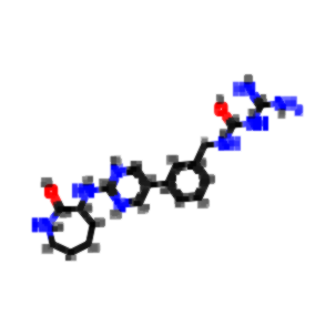 N=C(N)NC(=O)NCc1cccc(-c2cnc(NC3CCCCNC3=O)nc2)c1